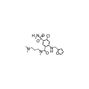 CN(C)CCCN(C)C(=O)c1cc(S(N)(=O)=O)c(Cl)cc1NCc1ccco1